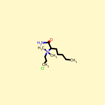 CCCCCC(C(N)=O)[N+](C)(C)CCC.[Cl-]